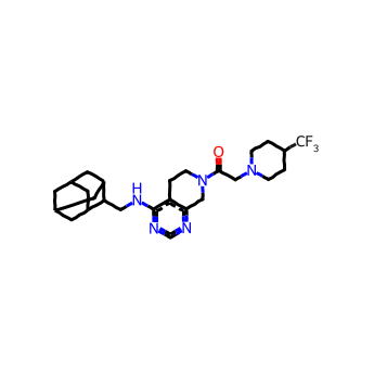 O=C(CN1CCC(C(F)(F)F)CC1)N1CCc2c(ncnc2NCC2C3CC4CC(C3)CC2C4)C1